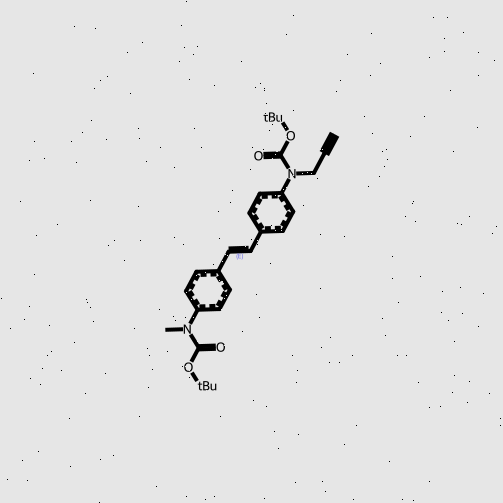 C#CCN(C(=O)OC(C)(C)C)c1ccc(/C=C/c2ccc(N(C)C(=O)OC(C)(C)C)cc2)cc1